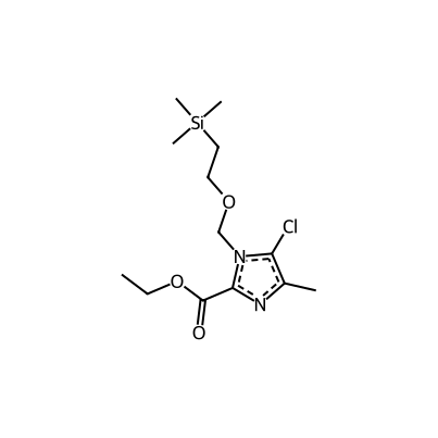 CCOC(=O)c1nc(C)c(Cl)n1COCC[Si](C)(C)C